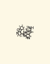 c1ccc2c(c1)oc1nccc(-c3nc(N4CCNCC4)c4c(C5CC5)cncc4n3)c12